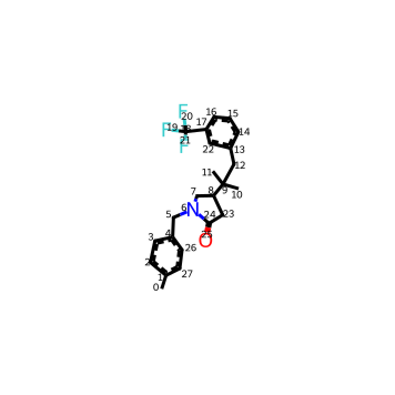 Cc1ccc(CN2CC(C(C)(C)Cc3cccc(C(F)(F)F)c3)CC2=O)cc1